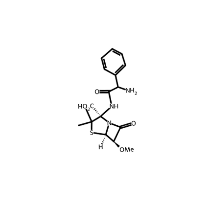 CO[C@@H]1C(=O)N2[C@@H]1SC(C)(C)[C@]2(NC(=O)C(N)c1ccccc1)C(=O)O